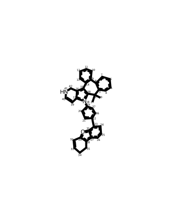 CC1(C)c2ccccc2-c2ccccc2-c2c3c(n(-c4ccc(-c5cccc6c7c(oc56)C=CCC7)cc4)c21)C=CNC3